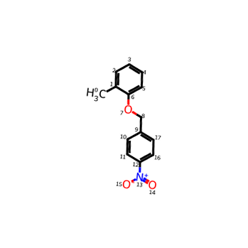 Cc1ccccc1OCc1ccc([N+](=O)[O-])cc1